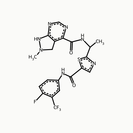 CC(NC(=O)c1ncnc2c1CN(C)N2)c1ncc(C(=O)Nc2ccc(F)c(C(F)(F)F)c2)s1